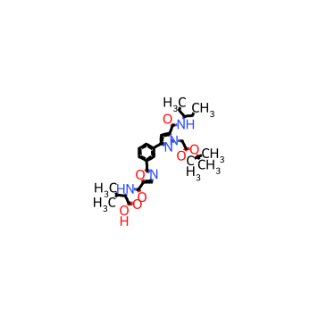 CCC(CC)NC(=O)c1cc(-c2cccc(-c3ncc(C(=O)NC(C(=O)O)C(C)C)o3)c2)nn1CC(=O)OC(C)(C)C